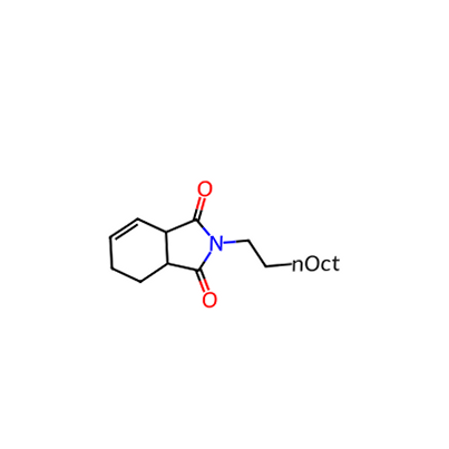 CCCCCCCCCCN1C(=O)C2C=CCCC2C1=O